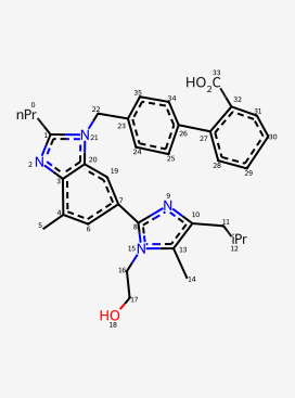 CCCc1nc2c(C)cc(-c3nc(CC(C)C)c(C)n3CCO)cc2n1Cc1ccc(-c2ccccc2C(=O)O)cc1